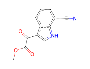 COC(=O)C(=O)c1c[nH]c2c(C#N)cccc12